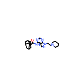 O=C(Nc1ncnc2c1cnn2CCN1CCCCC1)C12CC3CC(CC(C3)C1)C2